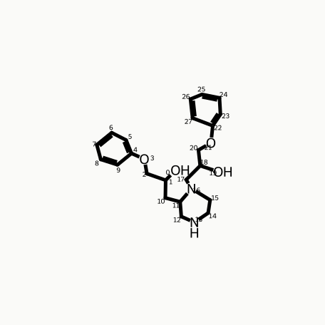 OC(COc1ccccc1)CC1CNCCN1CC(O)COc1ccccc1